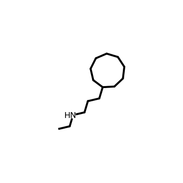 CCNCCCC1CCCCCCCC1